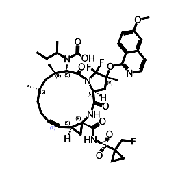 CCC(C)N(C(=O)O)[C@@H]1C(=O)N2[C@@H](C[C@@](C)(Oc3nccc4cc(OC)ccc34)C2(F)F)C(=O)N[C@]2(C(=O)NS(=O)(=O)C3(CF)CC3)C[C@H]2/C=C\CC[C@H](C)C[C@H]1C